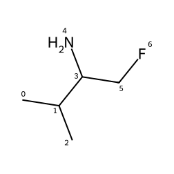 CC(C)C(N)CF